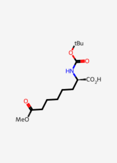 COC(=O)CCCCC[C@@H](NC(=O)OC(C)(C)C)C(=O)O